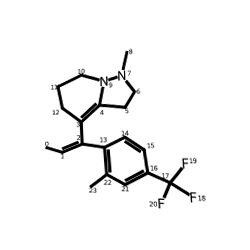 C/C=C(\C1=C2CCN(C)N2CCC1)c1ccc(C(F)(F)F)cc1C